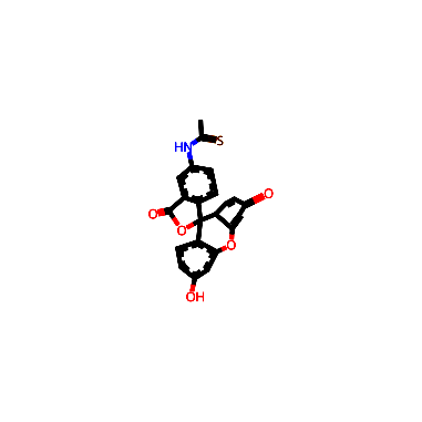 CC(=S)Nc1ccc2c(c1)C(=O)OC21c2ccc(O)cc2OC2=CC(=O)C=CC21